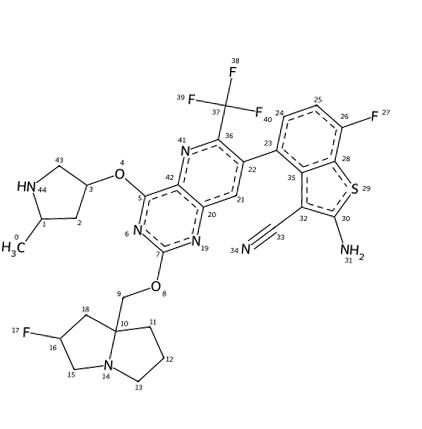 CC1CC(Oc2nc(OCC34CCCN3CC(F)C4)nc3cc(-c4ccc(F)c5sc(N)c(C#N)c45)c(C(F)(F)F)nc23)CN1